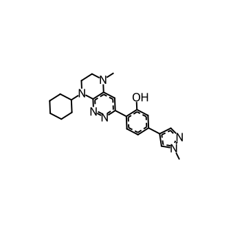 CN1CCN(C2CCCCC2)c2nnc(-c3ccc(-c4cnn(C)c4)cc3O)cc21